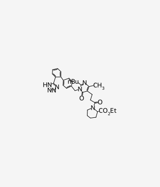 CCCCc1nc(C)c(CCC(=O)N2CCCCC2C(=O)OCC)c(=O)n1Cc1ccc(-c2ccccc2-c2nnn[nH]2)cc1